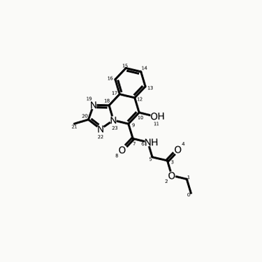 CCOC(=O)CNC(=O)c1c(O)c2ccccc2c2nc(C)nn12